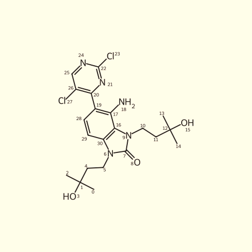 CC(C)(O)CCn1c(=O)n(CCC(C)(C)O)c2c(N)c(-c3nc(Cl)ncc3Cl)ccc21